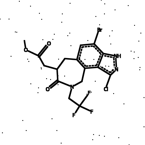 COC(=O)CC1Cc2cc(Br)c3[nH]nc(Cl)c3c2CN(CC(F)(F)F)C1=O